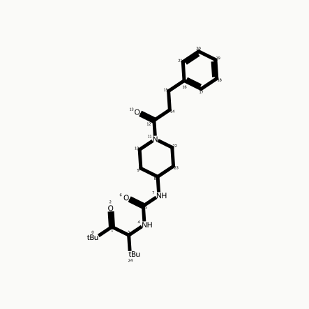 CC(C)(C)C(=O)C(NC(=O)NC1CCN(C(=O)CCc2ccccc2)CC1)C(C)(C)C